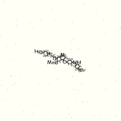 COc1cc2c(Oc3ccc(Nc4ccc(C(C)(C)C)cc4)cc3)ccnc2cc1OCCCN1CCC(O)CC1